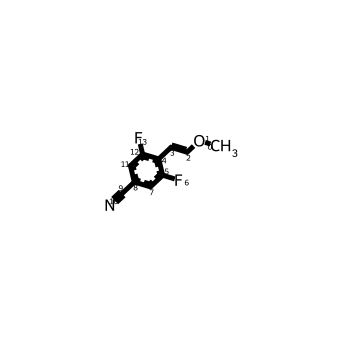 COC=Cc1c(F)cc(C#N)cc1F